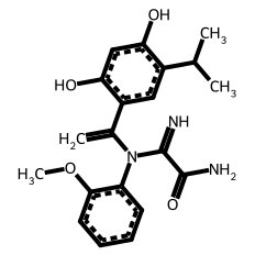 C=C(c1cc(C(C)C)c(O)cc1O)N(C(=N)C(N)=O)c1ccccc1OC